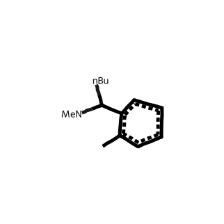 CCCCC(NC)c1ccccc1C